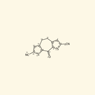 N#Cc1cc2c(s1)C(=O)c1sc(C#N)cc1CC2